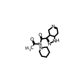 CC(=O)N(C(=O)C1=NNC2CC=NCC12)N1CCCCC1